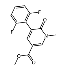 COC(=O)c1cc(-c2c(F)cccc2F)c(=O)n(C)c1